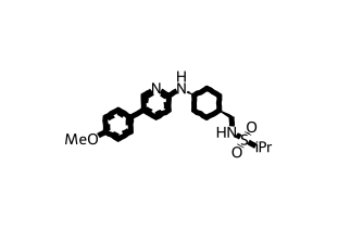 COc1ccc(-c2ccc(N[C@H]3CC[C@H](CNS(=O)(=O)C(C)C)CC3)nc2)cc1